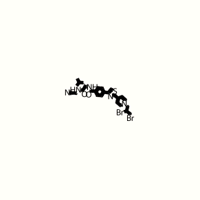 CC(C)C[C@H](NC(=O)c1ccc(-c2csc(C3=CCN(CC(Br)CBr)C=C3)n2)cc1)C(=O)NCC#N